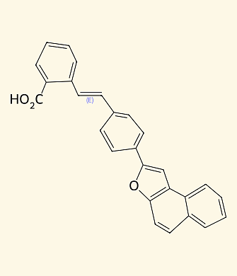 O=C(O)c1ccccc1/C=C/c1ccc(-c2cc3c(ccc4ccccc43)o2)cc1